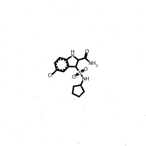 NC(=O)C1Nc2ccc(Cl)cc2C1S(=O)(=O)NC1CCCC1